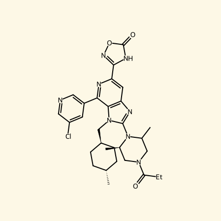 CCC(=O)N1CC(C)N(c2nc3cc(-c4noc(=O)[nH]4)nc(-c4cncc(Cl)c4)c3n2C[C@H]2CC[C@H](C)CC2)[C@H](C)C1